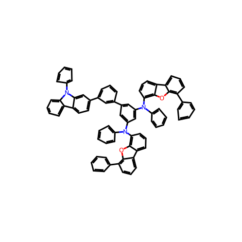 c1ccc(-c2cccc3c2oc2c(N(c4ccccc4)c4cc(-c5cccc(-c6ccc7c8ccccc8n(-c8ccccc8)c7c6)c5)cc(N(c5ccccc5)c5cccc6c5oc5c(-c7ccccc7)cccc56)c4)cccc23)cc1